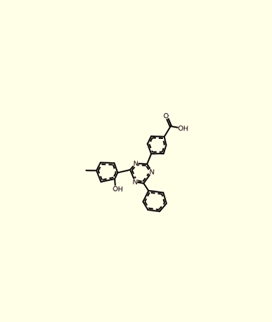 Cc1ccc(-c2nc(-c3ccccc3)nc(-c3ccc(C(=O)O)cc3)n2)c(O)c1